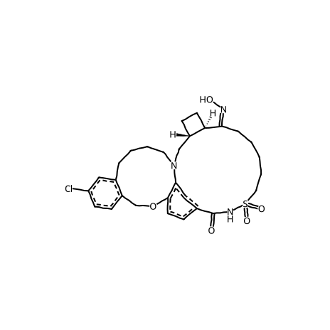 O=C1NS(=O)(=O)CCCCC/C(=N/O)[C@@H]2CC[C@H]2CN2CCCCc3cc(Cl)ccc3COc3ccc1cc32